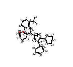 CC(C)c1cccc(C(C)C)c1/N=C(\c1ccccc1)c1nc(-c2ccccc2)c(-c2ccccc2)o1